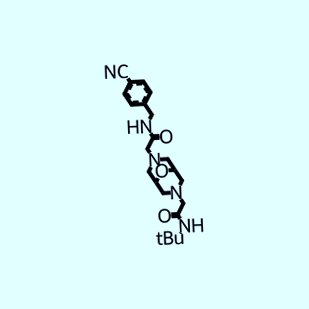 CC(C)(C)NC(=O)CN1CC2CN(CC(=O)NCc3ccc(C#N)cc3)CC(C1)O2